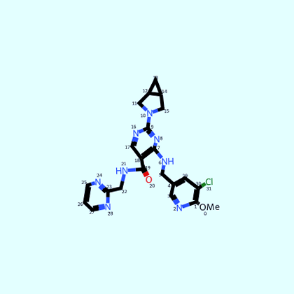 COc1ncc(CNc2nc(N3CC4CC4C3)ncc2C(=O)NCc2ncccn2)cc1Cl